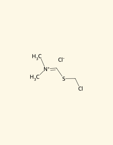 C[N+](C)=CSCCl.[Cl-]